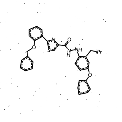 CC(C)Cc1cc(Oc2ccccc2)ccc1NNC(=O)c1csc(-c2ccccc2OCc2ccccc2)n1